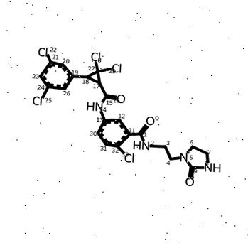 O=C(NCCN1CCNC1=O)c1cc(NC(=O)C2C(c3cc(Cl)cc(Cl)c3)C2(Cl)Cl)ccc1Cl